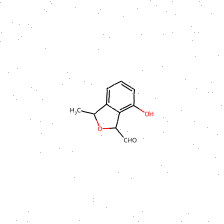 CC1OC(C=O)c2c(O)cccc21